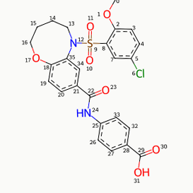 COc1ccc(Cl)cc1S(=O)(=O)N1CCCCOc2ccc(C(=O)Nc3ccc(C(=O)O)cc3)cc21